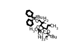 C=CC(O[Si](C)(C)C(C)(C)C)C1OC(C)(C)OC1C(=C)CO[Si](c1ccccc1)(c1ccccc1)C(C)(C)C